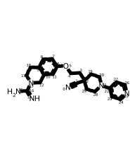 N#CC1(CCOc2ccc3c(c2)CN(C(=N)N)CC3)CCN(c2ccncc2)CC1